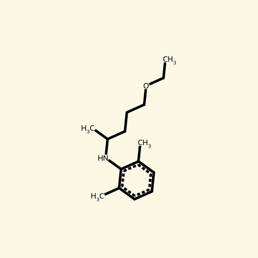 CCOCCCC(C)Nc1c(C)cccc1C